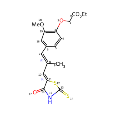 CCOC(=O)COc1ccc(/C=C(C)/C=C2\SC(=S)NC2=O)cc1OC